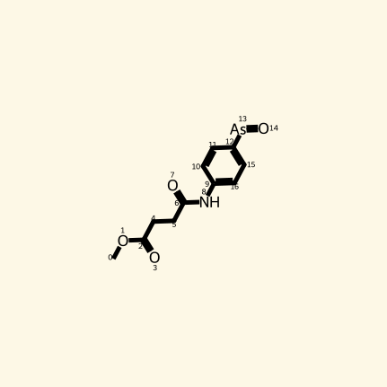 COC(=O)CCC(=O)Nc1ccc([As]=O)cc1